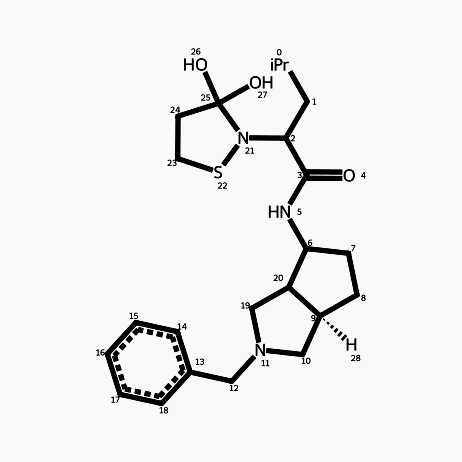 CC(C)CC(C(=O)NC1CC[C@H]2CN(Cc3ccccc3)CC12)N1SCCC1(O)O